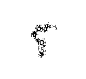 Cn1ccc2c1ccn2-c1cncc(-c2cn(Cc3cn4cc(CNCC5CC6CC5C6)ccc4n3)nn2)c1